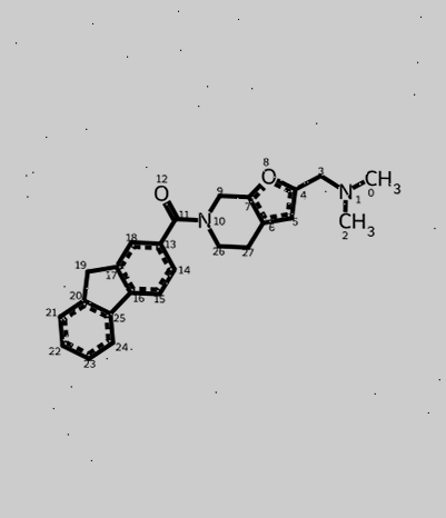 CN(C)Cc1cc2c(o1)CN(C(=O)c1ccc3c(c1)Cc1ccccc1-3)CC2